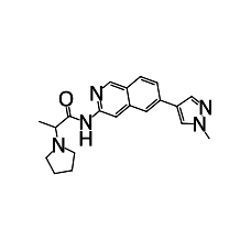 CC(C(=O)Nc1cc2cc(-c3cnn(C)c3)ccc2cn1)N1CCCC1